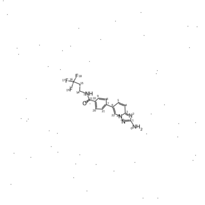 Nc1nc2ccc(-c3ccc(C(=O)NCCC(F)(F)F)cc3)cn2n1